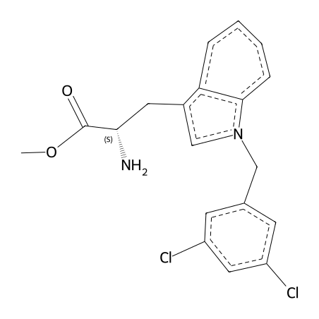 COC(=O)[C@@H](N)Cc1cn(Cc2cc(Cl)cc(Cl)c2)c2ccccc12